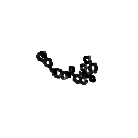 O=C(NC1CCc2ccc(C(=O)N3CCC4(CCN(Cc5ccc6ncccc6c5)CC4)C3)cc21)c1cccc(Cl)c1Cl